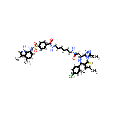 Cc1sc2c(c1C)C(c1ccc(Cl)cc1)=N[C@@H](CC(=O)NCCCCCCNC(=O)c1ccc(S(=O)(=O)Nc3ccc(C)c4c(C#N)c[nH]c34)cc1)c1nnc(C)n1-2